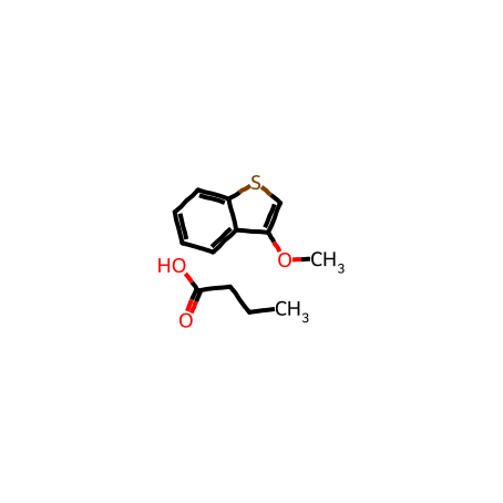 CCCC(=O)O.COc1csc2ccccc12